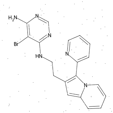 Nc1ncnc(NCCc2cc3ccccn3c2-c2ccccn2)c1Br